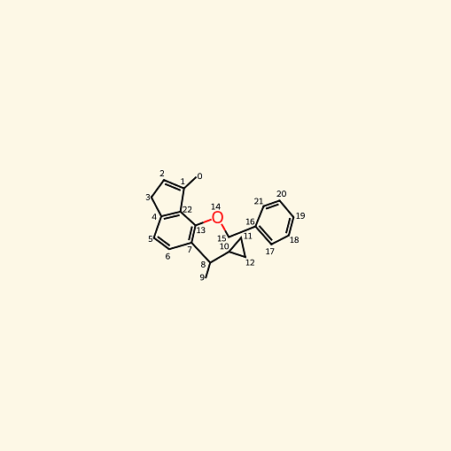 CC1=CCc2ccc(C(C)C3CC3)c(OCc3ccccc3)c21